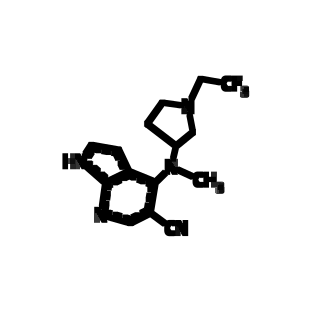 CN(c1c(C#N)cnc2[nH]ccc12)C1CCN(CC(F)(F)F)C1